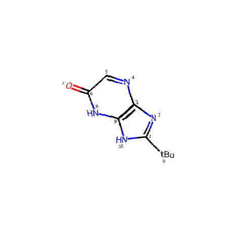 CC(C)(C)c1nc2ncc(=O)[nH]c2[nH]1